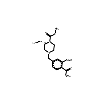 COC(=O)c1ccc(CN2CCN(C(=O)OC(C)(C)C)[C@@H](CO)C2)cc1OC